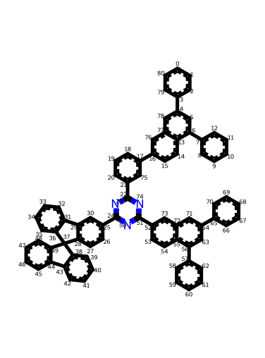 c1ccc(-c2cc(-c3ccccc3)c3ccc(-c4cccc(-c5nc(-c6ccc7c(c6)-c6ccccc6C76c7ccccc7-c7ccccc76)nc(-c6ccc7c(-c8ccccc8)cc(-c8ccccc8)cc7c6)n5)c4)cc3c2)cc1